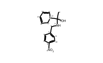 CC(O)(NCc1ccc([N+](=O)[O-])cc1)N1C=CC=CC1